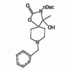 CCCCCCCCCCN1C(=O)OC2(CCN(Cc3ccccc3)CC2)C1(C)O